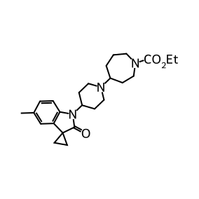 CCOC(=O)N1CCCC(N2CCC(N3C(=O)C4(CC4)c4cc(C)ccc43)CC2)CC1